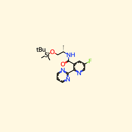 C[C@@H](CO[Si](C)(C)C(C)(C)C)NC(=O)c1cc(F)cnc1-c1ncccn1